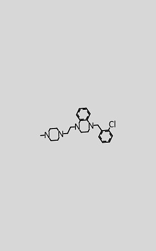 CN1CCN(CCN2CCN(Cc3ccccc3Cl)c3ccccc32)CC1